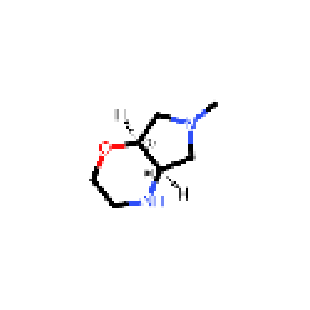 CN1C[C@@H]2OCCN[C@@H]2C1